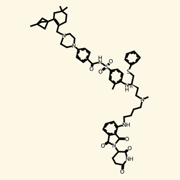 Cc1cc(S(=O)(=O)NC(=O)c2ccc(N3CCN(CC4=C(C56CC(C)(C5)C6)CC(C)(C)CC4)CC3)cc2)ccc1N[C@H](CCN(C)CCCCNc1cccc2c1C(=O)N(C1CCC(=O)NC1=O)C2=O)CSc1ccccc1